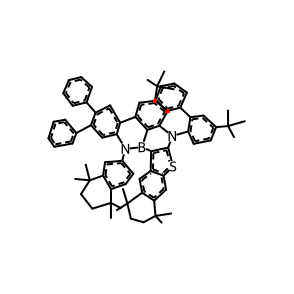 CC(C)(C)c1ccc(N2c3cc(C(C)(C)C)cc4c3B(c3c2sc2cc5c(cc32)C(C)(C)CCC5(C)C)N(c2ccc3c(c2)C(C)(C)CCC3(C)C)c2cc(-c3ccccc3)c(-c3ccccc3)cc2-4)c(-c2ccccc2)c1